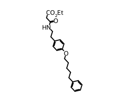 CCOC(=O)CC(=O)NCCc1ccc(OCCCCCc2ccccc2)cc1